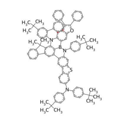 CC(C)(C)c1ccc(N2B3c4cc5oc(-c6ccccc6)c(-c6ccccc6)c5cc4N(c4ccc(C(C)(C)C)cc4-c4ccccc4)c4c3c(cc3c4C(C)(C)c4ccccc4-3)-c3cc4c(cc32)sc2cc(N(c3ccc(C(C)(C)C)cc3)c3ccc(C(C)(C)C)cc3)ccc24)cc1